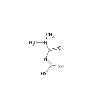 CN(C)C(=O)N=C(S)S